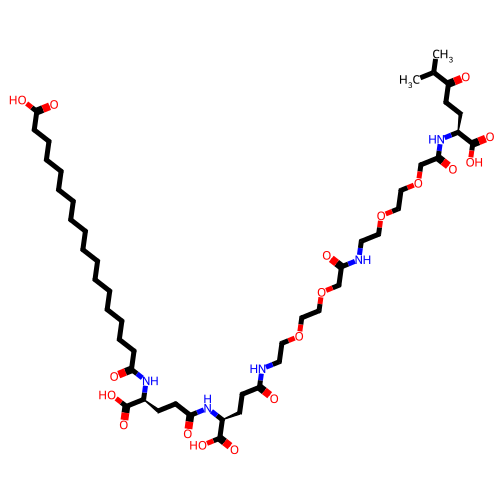 CC(C)C(=O)CC[C@H](NC(=O)COCCOCCNC(=O)COCCOCCNC(=O)CC[C@H](NC(=O)CC[C@H](NC(=O)CCCCCCCCCCCCCCCCC(=O)O)C(=O)O)C(=O)O)C(=O)O